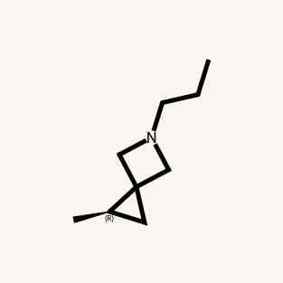 CCCN1CC2(C[C@H]2C)C1